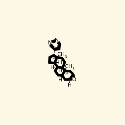 C[C@]12CC3O[C@H]3C[C@H]1CC[C@@H]1[C@@H]2CC[C@]2(C)[C@@H](c3ccnnc3)CC[C@@H]12